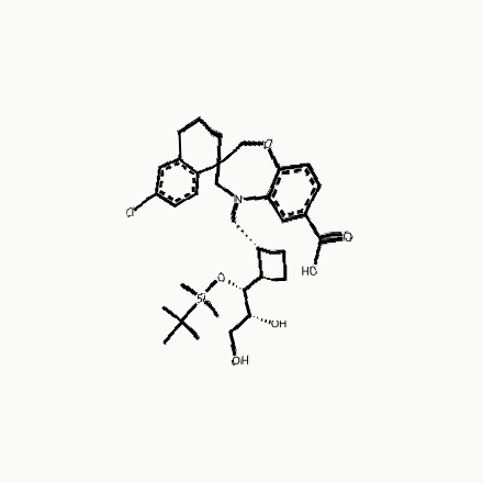 CC(C)(C)[Si](C)(C)O[C@H]([C@@H]1CC[C@H]1CN1CC2(CCCc3cc(Cl)ccc32)COc2ccc(C(=O)O)cc21)[C@H](O)CO